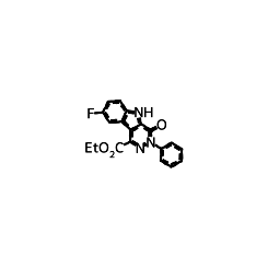 CCOC(=O)c1nn(-c2ccccc2)c(=O)c2[nH]c3ccc(F)cc3c12